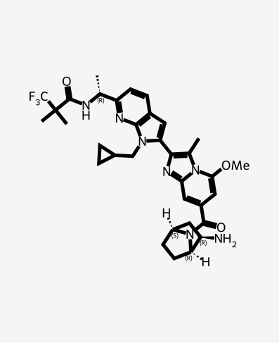 COc1cc(C(=O)N2[C@H]3CC[C@@H]2[C@H](N)C3)cc2nc(-c3cc4ccc([C@@H](C)NC(=O)C(C)(C)C(F)(F)F)nc4n3CC3CC3)c(C)n12